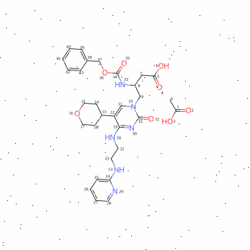 CC(=O)O.O=C(O)CC(Cn1cc(C2CCOCC2)c(NCCNc2ccccn2)nc1=O)NC(=O)OCc1ccccc1